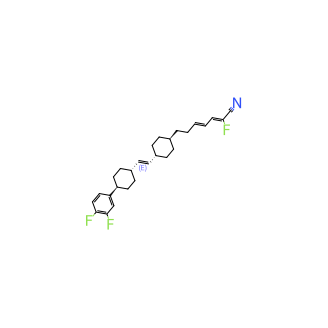 N#CC(F)=CC=CCC[C@H]1CC[C@H](/C=C/[C@H]2CC[C@H](c3ccc(F)c(F)c3)CC2)CC1